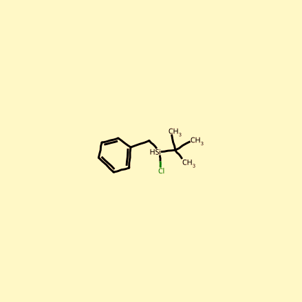 CC(C)(C)[SiH](Cl)Cc1ccccc1